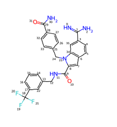 N=C(N)c1ccc2cc(C(=O)NCc3cccc(C(F)(F)F)c3)n(Cc3ccc(C(N)=O)cc3)c2c1